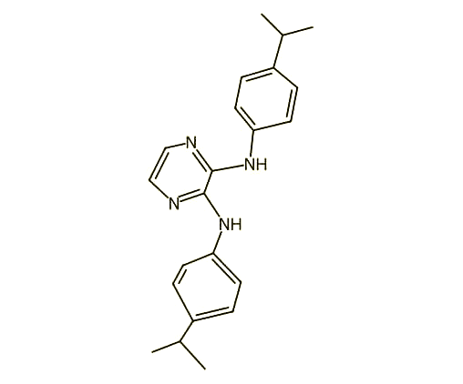 CC(C)c1ccc(Nc2nccnc2Nc2ccc(C(C)C)cc2)cc1